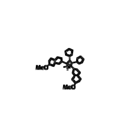 COc1ccc2ccc(C3=C(c4ccccc4)C(c4ccccc4)=C(c4ccc5ccc(OC)cc5c4)[Si]3(C)C)cc2c1